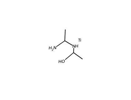 CC(N)NC(C)O.[Ti]